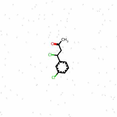 CC(=O)CC(Cl)c1cccc(Cl)c1